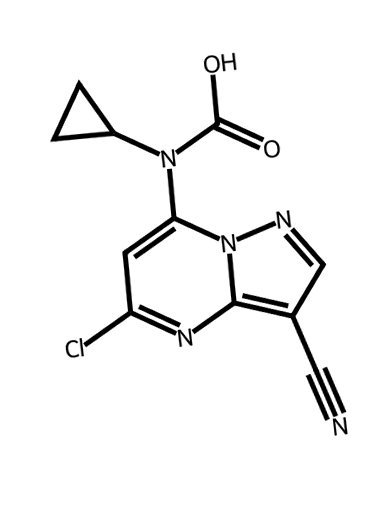 N#Cc1cnn2c(N(C(=O)O)C3CC3)cc(Cl)nc12